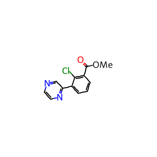 COC(=O)c1cccc(-c2cnccn2)c1Cl